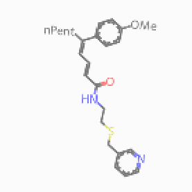 CCCCCC(=CC=CC(=O)NCCSCc1cccnc1)c1ccc(OC)cc1